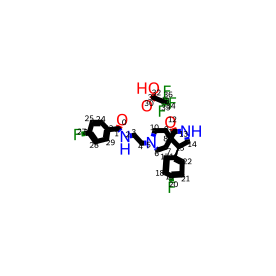 O=C(NCCN1CCC2(CC1)C(=O)NC[C@H]2c1ccc(F)cc1)c1ccc(F)cc1.O=C(O)C(F)(F)F